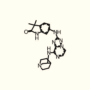 CC1(C)C(=O)Nc2cc(Nc3nc4c(NC5CN6CCC5CC6)nccn4n3)ccc21